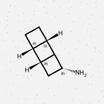 N[C@@H]1C[C@H]2C1[C@H]1CC[C@H]12